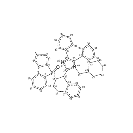 O=P(c1ccccc1)(c1ccccc1)[C@H]1CCc2ccccc2C1c1nc(-c2ccccc2)c(-c2ccccc2)n1CC1CCCCC1